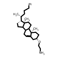 CC(C)CCC[C@@H](C)[C@H]1CCC2C3CC=C4C[C@@H](OCCN)CC[C@]4(C)C3CC[C@@]21C